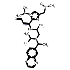 CC(CN(C(C)C)C(C)c1ccc2nccnc2c1)N/C(=C/C=O)c1nc(C[S+](C)[O-])cn1N(C)C